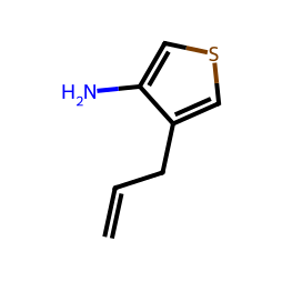 C=CCc1cscc1N